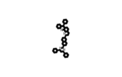 c1ccc(-c2cc(-c3ccccc3)nc(-c3ccc4cc(-c5ccc6ccc7c(-c8ccccc8)c8ccccc8nc7c6n5)ccc4c3)n2)cc1